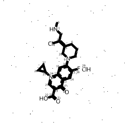 CNCC(Cl)=C1CCCN(c2cc3c(cc2F)c(=O)c(C(=O)O)cn3C2CC2)C1.Cl